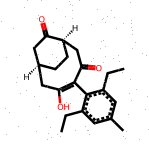 CCc1cc(C)cc(CC)c1/C1=C(\O)C[C@@H]2CC[C@H](CC1=O)C(=O)C2